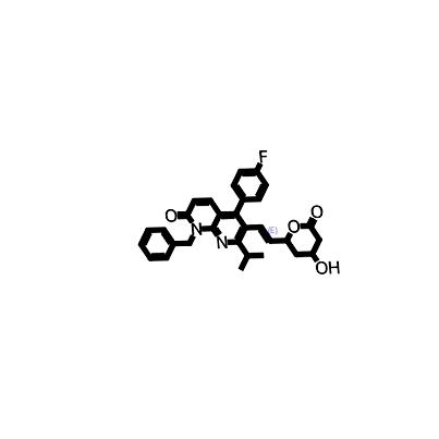 CC(C)c1nc2c(ccc(=O)n2Cc2ccccc2)c(-c2ccc(F)cc2)c1/C=C/C1CC(O)CC(=O)O1